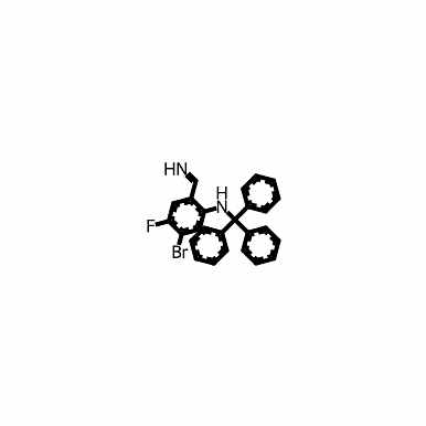 N=Cc1cc(F)c(Br)cc1NC(c1ccccc1)(c1ccccc1)c1ccccc1